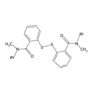 CC(C)N(C)C(=O)c1ccccc1SSc1ccccc1C(=O)N(C)C(C)C